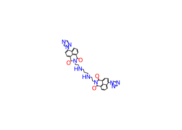 O=C1c2cccc3c(-n4cncn4)ccc(c23)C(=O)N1CCNCCCNCCN1C(=O)c2cccc3c(-n4cncn4)ccc(c23)C1=O